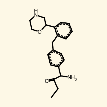 CCC(=O)C(N)c1ccc(Cc2ccccc2C2CNCCO2)cc1